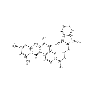 CCC(=O)Nc1cc(N(CC)CCCN2C(=O)c3ccccc3C2=O)ccc1/N=N/c1c(C#N)cc([N+](=O)[O-])cc1C#N